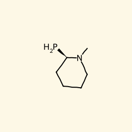 CN1CCCC[C@H]1P